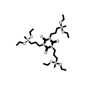 CCO[Si](C)(CCCn1c(=O)n(CCC[Si](C)(OCC)OCC)c(=O)n(CCC[Si](C)(OCC)OCC)c1=O)OCC